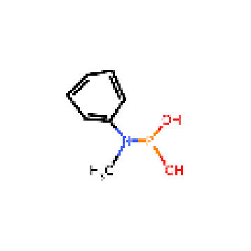 CN(c1ccccc1)P(O)O